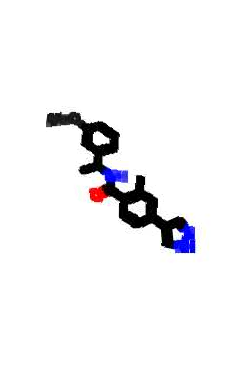 COc1cccc(C(C)NC(=O)c2ccc(-c3cn[nH]c3)cc2C)c1